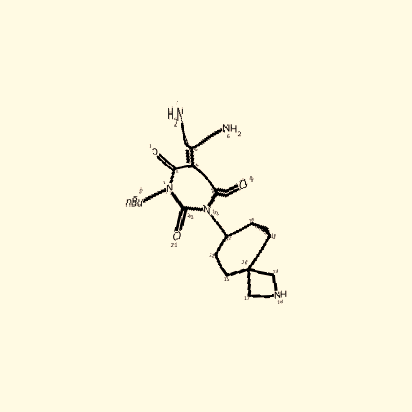 CCCCN1C(=O)C(=C(N)N)C(=O)N(C2CCC3(CC2)CNC3)C1=O